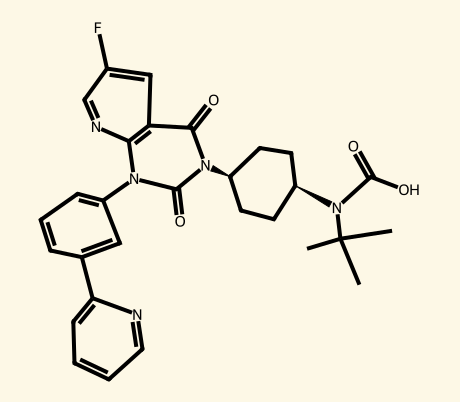 CC(C)(C)N(C(=O)O)[C@H]1CC[C@@H](n2c(=O)c3cc(F)cnc3n(-c3cccc(-c4ccccn4)c3)c2=O)CC1